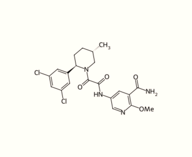 COc1ncc(NC(=O)C(=O)N2C[C@@H](C)CC[C@@H]2c2cc(Cl)cc(Cl)c2)cc1C(N)=O